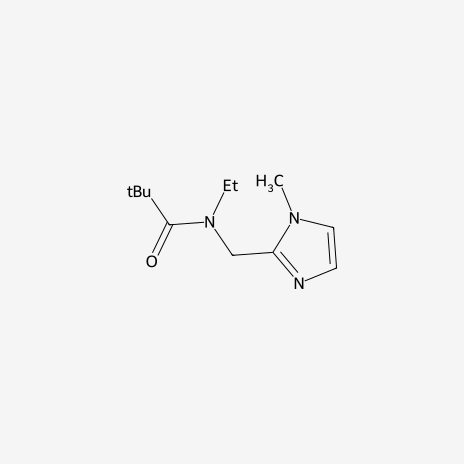 CCN(Cc1nccn1C)C(=O)C(C)(C)C